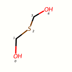 OCSCO